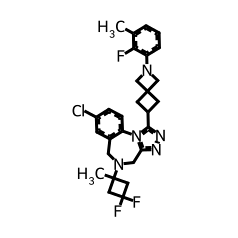 Cc1cccc(N2CC3(CC(c4nnc5n4-c4ccc(Cl)cc4CN(C4(C)CC(F)(F)C4)C5)C3)C2)c1F